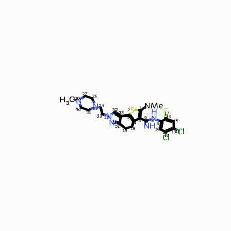 CNc1sc2c(c1C(=N)Nc1cc(Cl)c(Cl)cc1F)CCc1nn(CCN3CCN(C)CC3)cc1-2